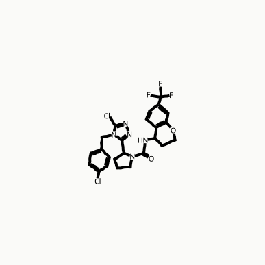 O=C(NC1CCOc2cc(C(F)(F)F)ccc21)N1CCCC1c1nnc(Cl)n1Cc1ccc(Cl)cc1